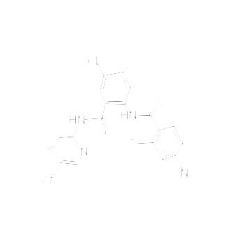 [C-]#[N+]c1ccc(C(=O)Nc2ccc(Cl)cc2C(=O)Nc2ccc(Cl)cn2)c(F)c1